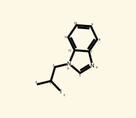 CC(I)Cn1cnc2ccccc21